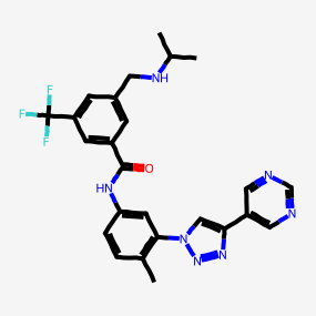 Cc1ccc(NC(=O)c2cc(CNC(C)C)cc(C(F)(F)F)c2)cc1-n1cc(-c2cncnc2)nn1